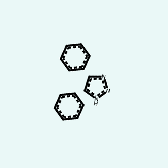 c1c[nH]nn1.c1ccccc1.c1ccccc1